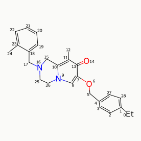 CCc1ccc(COc2cn3c(c(C)c2=O)CN(Cc2ccccc2C)CC3)cc1